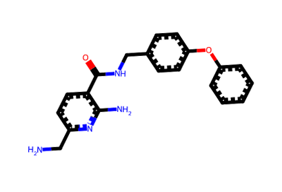 NCc1ccc(C(=O)NCc2ccc(Oc3ccccc3)cc2)c(N)n1